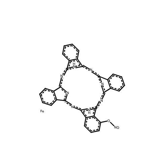 O=NOc1cccc2c3nc4nc(nc5[nH]c(nc6nc(nc([nH]3)c12)-c1ccccc1-6)c1ccccc51)-c1ccccc1-4.[Fe]